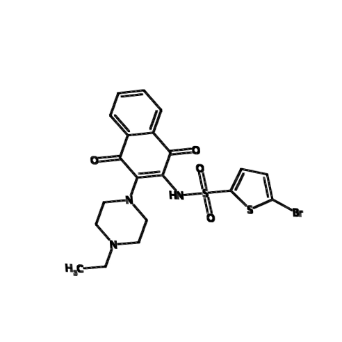 CCN1CCN(C2=C(NS(=O)(=O)c3ccc(Br)s3)C(=O)c3ccccc3C2=O)CC1